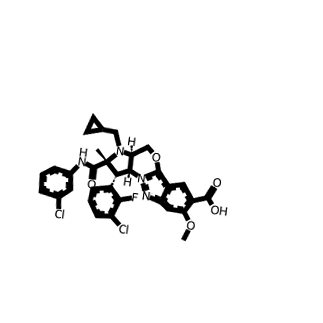 COc1cc2nn3c(c2cc1C(=O)O)OC[C@H]1[C@@H]3[C@H](c2cccc(Cl)c2F)[C@](C)(C(=O)Nc2cccc(Cl)c2)N1CC1CC1